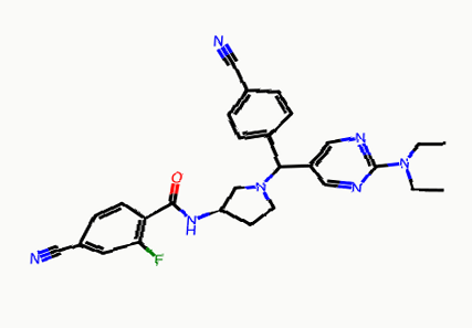 CCN(CC)c1ncc(C(c2ccc(C#N)cc2)N2CC[C@@H](NC(=O)c3ccc(C#N)cc3F)C2)cn1